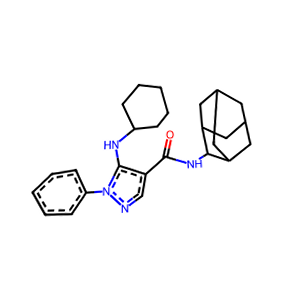 O=C(NC1C2CC3CC(C2)CC1C3)c1cnn(-c2ccccc2)c1NC1CCCCC1